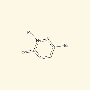 CC(C)n1nc(Br)ccc1=O